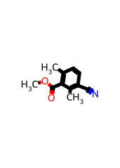 COC(=O)c1c(C)ccc(C#N)c1C